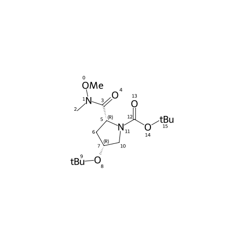 CON(C)C(=O)[C@H]1C[C@@H](OC(C)(C)C)CN1C(=O)OC(C)(C)C